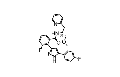 COC[C@@H](Cc1ccccn1)NC(=O)c1cccc(F)c1-c1cc(-c2ccc(F)cc2)[nH]n1